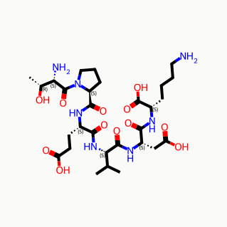 CC(C)[C@H](NC(=O)[C@H](CCC(=O)O)NC(=O)[C@@H]1CCCN1C(=O)[C@@H](N)[C@@H](C)O)C(=O)N[C@@H](CC(=O)O)C(=O)N[C@@H](CCCCN)C(=O)O